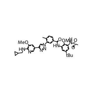 COc1cc(-c2cn(-c3cc(C(=O)Nc4cc(C(C)(C)C)cc(NS(C)(=O)=O)c4OC)ccc3C)nn2)cnc1NCC1CC1